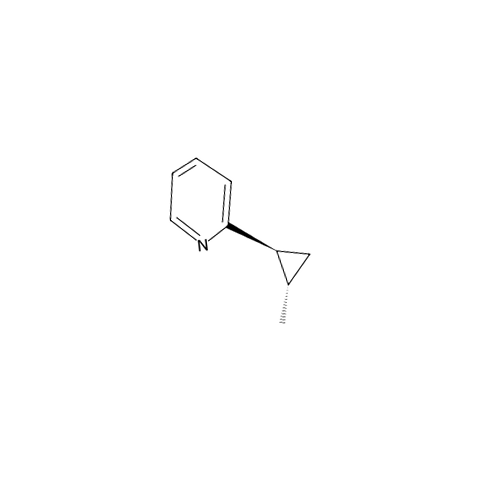 C[C@H]1C[C@@H]1c1ccccn1